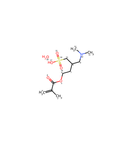 C=C(C)C(=O)OCCC(CN(C)C)CS(=O)(=O)O.O